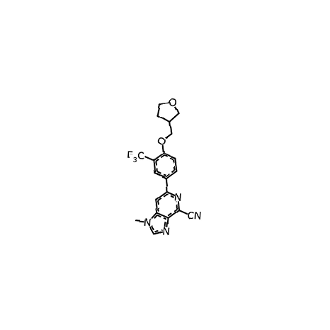 Cn1cnc2c(C#N)nc(-c3ccc(OCC4CCOC4)c(C(F)(F)F)c3)cc21